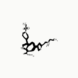 CCCNCc1cc(-c2cc(C(N)=O)c3[nH]cc(C4CCN(S(=O)(=O)CC)CC4)c3c2)cs1